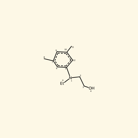 CCN(CCO)c1cc(C)cc(C)c1